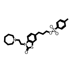 Cc1ccc(S(=O)(=O)OCCCc2ccc3c(c2)sc(=O)n3CCN2CCCCCC2)cc1